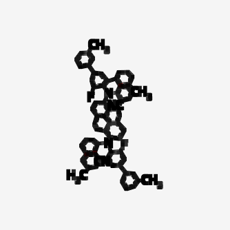 Cc1cccc(-c2cc(F)c(N(c3ccccc3C#N)c3ccc4ccc5c(N(c6ccccc6C#N)c6c(F)cc(-c7cccc(C)c7)cc6-c6cccc(C)c6)ccc6ccc3c4c65)c(-c3cccc(C)c3)c2)c1